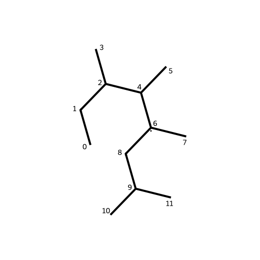 CCC(C)C(C)[C](C)CC(C)C